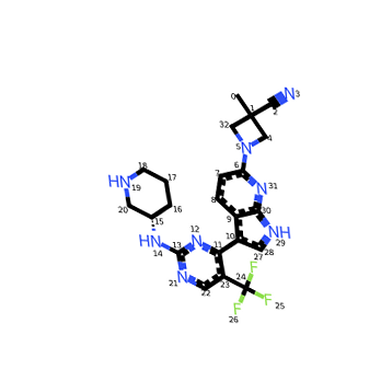 CC1(C#N)CN(c2ccc3c(-c4nc(N[C@H]5CCCNC5)ncc4C(F)(F)F)c[nH]c3n2)C1